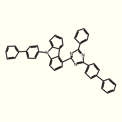 c1ccc(-c2ccc(-c3nc(-c4ccccc4)nc(-c4cccc5c4c4ccccc4n5-c4ccc(-c5ccccc5)cc4)n3)cc2)cc1